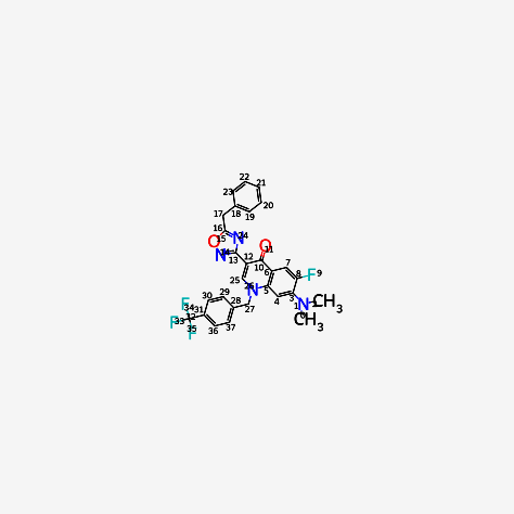 CN(C)c1cc2c(cc1F)c(=O)c(-c1noc(Cc3ccccc3)n1)cn2Cc1ccc(C(F)(F)F)cc1